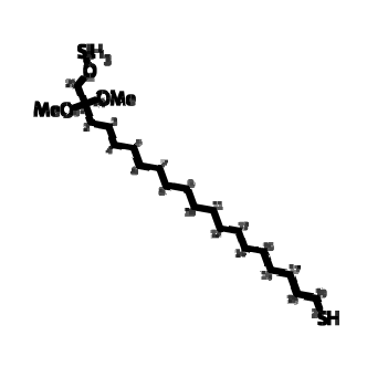 COC(CCCCCCCCCCCCCCCCCCS)(CO[SiH3])OC